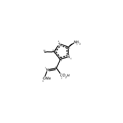 CO/N=C(\C(=O)O)c1nc(N)sc1C